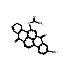 COc1ccc2c(c1)C(=O)c1cc(NC(=N)N)c3c4c(ccc-2c14)C(=O)C1=C3CCC=C1